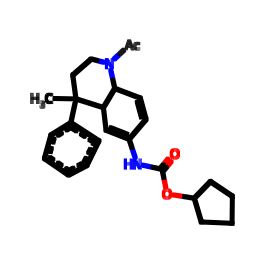 CC(=O)N1CCC(C)(c2ccccc2)C2C=C(NC(=O)OC3CCCC3)C=CC21